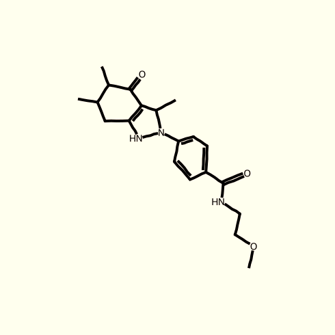 COCCNC(=O)c1ccc(N2NC3=C(C(=O)C(C)C(C)C3)C2C)cc1